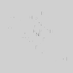 BC1(B)CCC(B)(B)N1C[C@@H](NC(=O)C(F)(F)c1cc2cc(Cl)ccc2o1)[C@H](O)c1ccc2c(c1)OCCO2